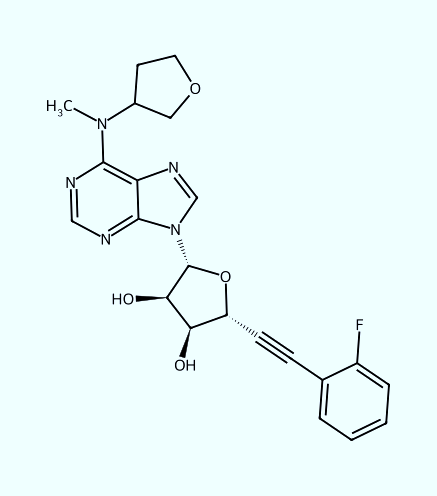 CN(c1ncnc2c1ncn2[C@@H]1O[C@H](C#Cc2ccccc2F)[C@@H](O)[C@H]1O)C1CCOC1